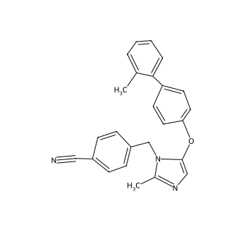 Cc1ccccc1-c1ccc(Oc2cnc(C)n2Cc2ccc(C#N)cc2)cc1